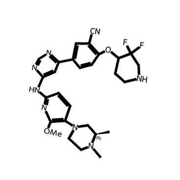 COc1nc(Nc2cc(-c3ccc(OC4CCNCC4(F)F)c(C#N)c3)ncn2)ccc1N1CCN(C)[C@H](C)C1